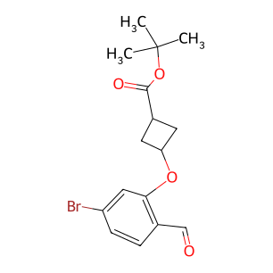 CC(C)(C)OC(=O)C1CC(Oc2cc(Br)ccc2C=O)C1